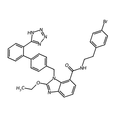 CCOc1nc2cccc(C(=O)NCCc3ccc(Br)cc3)c2n1Cc1ccc(-c2ccccc2-c2nnn[nH]2)cc1